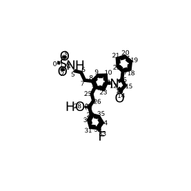 CS(=O)(=O)NCCCc1ccc(N2C(=O)CC2c2cc[c]cc2)cc1CC[C@H](O)c1ccc(F)cc1